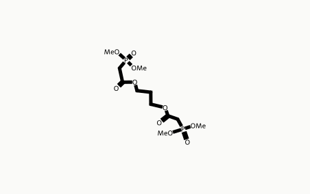 COP(=O)(CC(=O)OCCCOC(=O)CP(=O)(OC)OC)OC